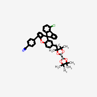 CC1(C)OB(B2OC(C)(C)C(C)(Cc3ccc4c(c3)C3(c5ccccc5-c5c(Cl)cccc53)c3cccc(-c5ccc(C#N)cc5)c3O4)O2)OC1(C)C